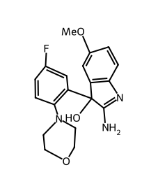 COc1ccc2c(c1)C(O)(c1cc(F)ccc1N1CCOCC1)C(N)=N2